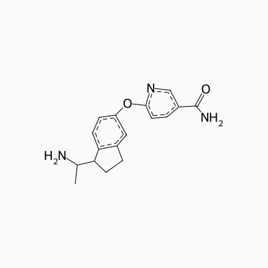 CC(N)C1CCc2cc(Oc3ccc(C(N)=O)cn3)ccc21